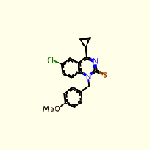 COc1ccc(Cn2c(=S)nc(C3CC3)c3cc(Cl)ccc32)cc1